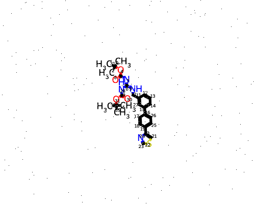 CC(C)(C)OC(=O)/N=C(/NCc1cccc(-c2ccc(-c3cscn3)cc2)c1)NC(=O)OC(C)(C)C